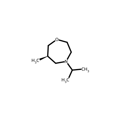 CC(C)N1CCOC[C@H](C)C1